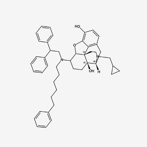 Oc1ccc2c3c1OC1C(N(CCCCCCc4ccccc4)CC(c4ccccc4)c4ccccc4)CC[C@@]4(O)[C@@H](C2)N(CC2CC2)CC[C@]314